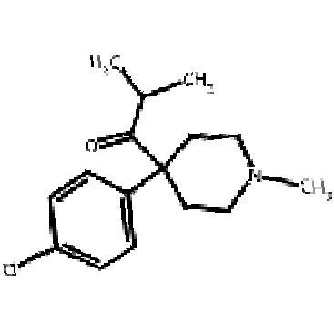 CC(C)C(=O)C1(c2ccc(Cl)cc2)CCN(C)CC1